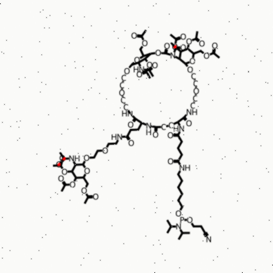 CC(=O)NC1C(OCCOCCNC(=O)CCC2NC(=O)CCC(NC(=O)CCCC(=O)NCCCCCCOP(OCCC#N)N(C(C)C)C(C)C)C(=O)NCCOCCOC3OC(COC(C)=O)C(OC(C)=O)C(OC(C)=O)C3N(C(C)=O)C(=O)OC3C(COC(C)=O)OC(OCCOCCNC2=O)C(NC(C)=O)C3OC(C)=O)OC(COC(C)=O)C(OC(C)=O)C1OC(C)=O